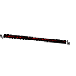 COCCOOCCOOCCOOCCOOCCOOCCOOCCOOCCOOCCOOCCOOCCOOCCOOCCOOCCOOCCOOCCOOCCOOCCOOCCOOCCOOCCOOCCOC